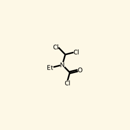 CCN(C(=O)Cl)C(Cl)Cl